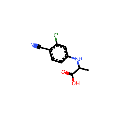 CC(Nc1ccc(C#N)c(Cl)c1)C(=O)O